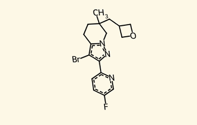 CC1(CC2COC2)CCc2c(Br)c(-c3ccc(F)cn3)nn2C1